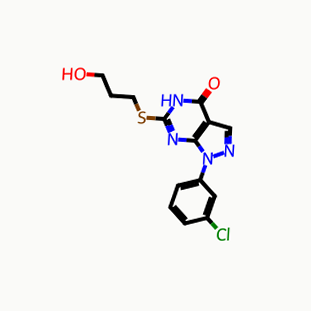 O=c1[nH]c(SCCCO)nc2c1cnn2-c1cccc(Cl)c1